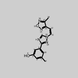 Cc1cc(O)cc(-c2ncn(/C=C\c3nonc3C)n2)c1